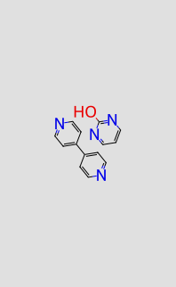 Oc1ncccn1.c1cc(-c2ccncc2)ccn1